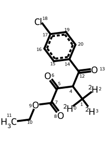 [2H]C([2H])([2H])C(C(=O)C(=O)OCC)C(=O)c1ccc(Cl)cc1